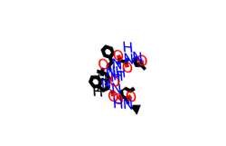 CCC[C@H](NC(=O)[C@@H]1C[C@@H]2CCCC[C@@H]2N1C(=O)[C@@H](NC(=O)[C@@H](NC(=O)C(=O)Nc1cc(C)on1)C1CCCCC1)C(C)(C)C)C(=O)C(=O)NC1CC1